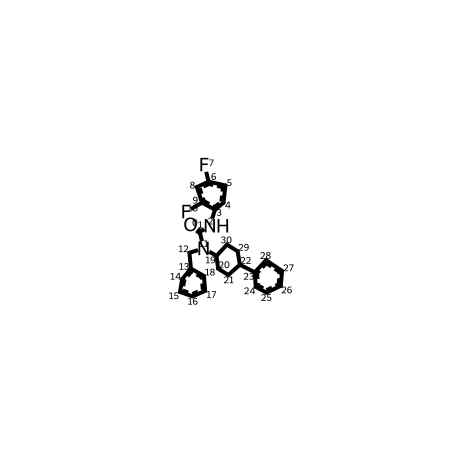 O=C(Nc1ccc(F)cc1F)N(Cc1ccccc1)C1CCC(c2ccccc2)CC1